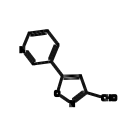 O=Cc1cc(-c2cccnc2)on1